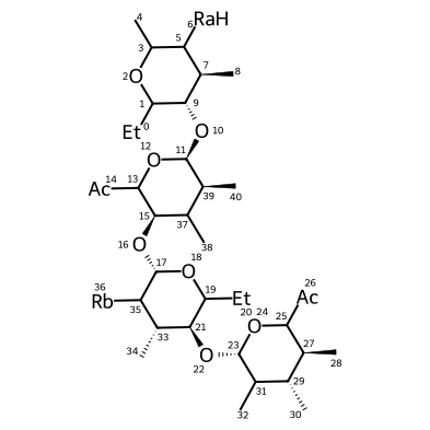 CCC1OC(C)[CH]([RaH])[C@@H](C)[C@@H]1O[C@@H]1OC(C(C)=O)[C@H](O[C@@H]2OC(CC)[C@@H](O[C@@H]3OC(C(C)=O)[C@@H](C)[C@H](C)C3C)[C@H](C)[CH]2[Rb])C(C)[C@@H]1C